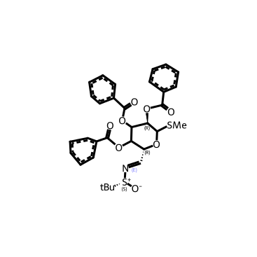 CSC1O[C@H](/C=N/[S@+]([O-])C(C)(C)C)C(OC(=O)c2ccccc2)C(OC(=O)c2ccccc2)[C@H]1OC(=O)c1ccccc1